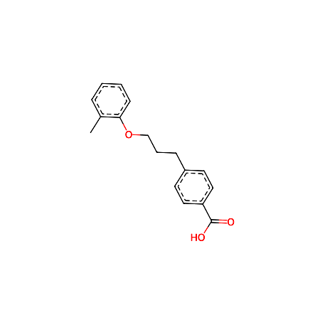 Cc1ccccc1OCCCc1ccc(C(=O)O)cc1